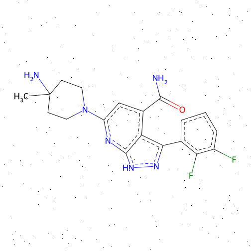 CC1(N)CCN(c2cc(C(N)=O)c3c(-c4cccc(F)c4F)n[nH]c3n2)CC1